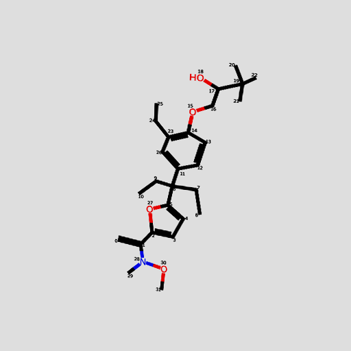 C=C(c1ccc(C(CC)(CC)c2ccc(OCC(O)C(C)(C)C)c(CC)c2)o1)N(C)OC